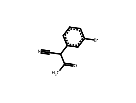 CC(=O)C(C#N)c1cccc(Br)c1